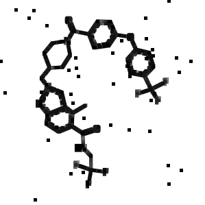 Cc1c(C(=O)NCC(F)(F)F)ccc2nn(CC3CCN(C(=O)c4ccc(Oc5ccc(C(F)(F)F)cc5)cc4)CC3)cc12